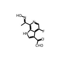 C/C(=N\O)c1ncc(F)c2c(C(=O)C=O)c[nH]c12